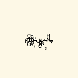 Cc1ncc(C)n2nc(CCc3nc(CCNC4CC4)nn3C)nc12